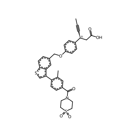 CC#C[C@@H](CC(=O)O)c1ccc(OCc2ccc3scc(-c4ccc(C(=O)N5CCS(=O)(=O)CC5)cc4C)c3c2)cc1